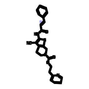 N#Cc1c(NC(=O)/C=C/c2ccccc2)sc2c1CCN(C(=O)OCCc1ccccn1)C2